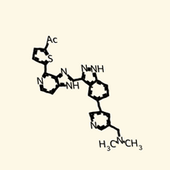 CC(=O)c1ccc(-c2nccc3[nH]c(-c4n[nH]c5ccc(-c6cncc(CN(C)C)c6)cc45)nc23)s1